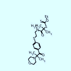 CCOC(=S)SC(C)(C)C(=O)N(C)CCSc1ccc(C(=O)C(C)(C)N2CCOCC2)cc1